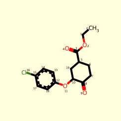 CCOC(=O)C1CCC(=O)C(Oc2ccc(Cl)cc2)C1